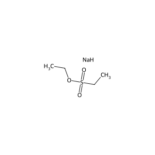 CCOS(=O)(=O)CC.[NaH]